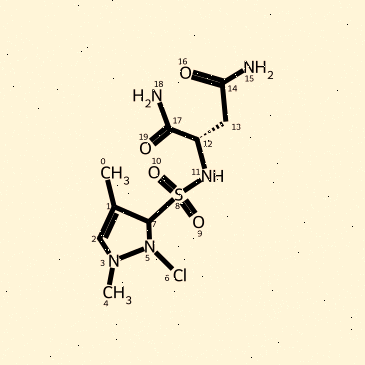 CC1=CN(C)N(Cl)C1S(=O)(=O)N[C@@H](CC(N)=O)C(N)=O